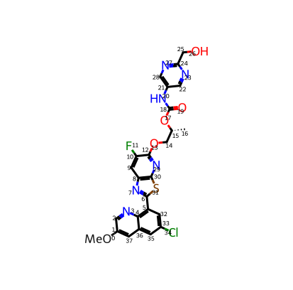 COc1cnc2c(-c3nc4cc(F)c(OC[C@@H](C)OC(=O)Nc5cnc(CO)nc5)nc4s3)cc(Cl)cc2c1